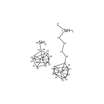 C[SiH](C)CCCC[C]12[CH]3[CH]4[CH]5[CH]1[Fe]45321678[CH]2[CH]1[CH]6[CH]7[CH]28.[SiH3][C]12[CH]3[CH]4[CH]5[CH]1[Fe]45321678[CH]2[CH]1[CH]6[CH]7[CH]28